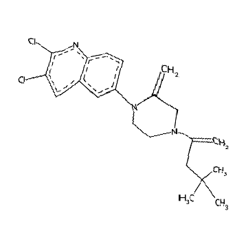 C=C(CC(C)(C)C)N1CCN(c2ccc3nc(Cl)c(Cl)cc3c2)C(=C)C1